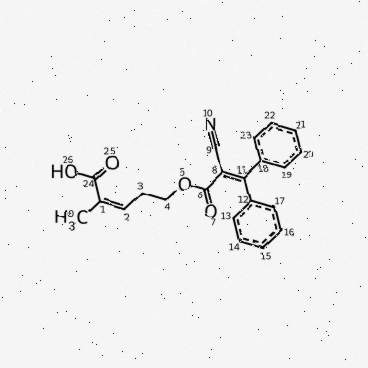 CC(=CCCOC(=O)C(C#N)=C(c1ccccc1)c1ccccc1)C(=O)O